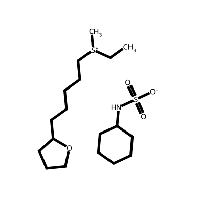 CC[S+](C)CCCCCC1CCCO1.O=S(=O)([O-])NC1CCCCC1